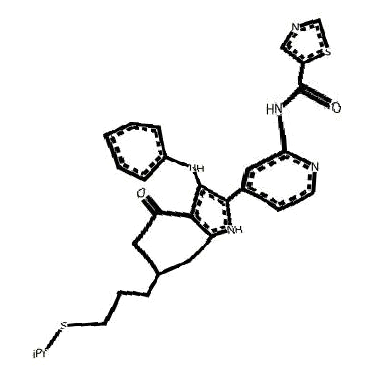 CC(C)SCCCC1CC(=O)c2c([nH]c(-c3ccnc(NC(=O)c4cncs4)c3)c2Nc2ccccc2)C1